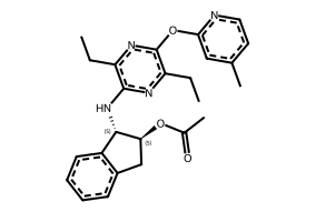 CCc1nc(Oc2cc(C)ccn2)c(CC)nc1N[C@H]1c2ccccc2C[C@@H]1OC(C)=O